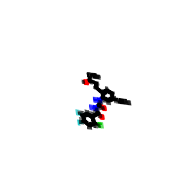 COC(=O)C=Cc1ccc(NC(C)=O)cc1NC(=O)NC(=O)c1cc(F)c(F)cc1Cl